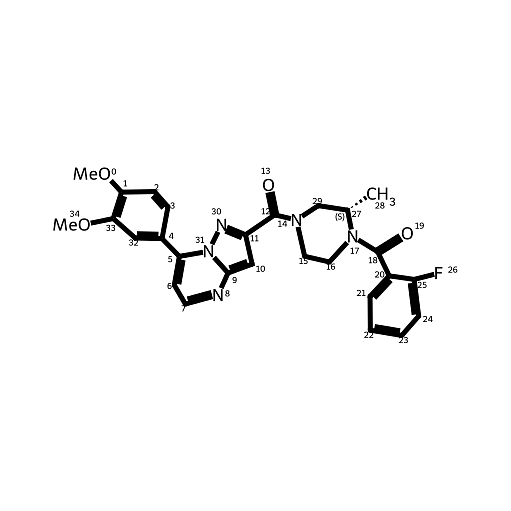 COc1ccc(-c2ccnc3cc(C(=O)N4CCN(C(=O)c5ccccc5F)[C@@H](C)C4)nn23)cc1OC